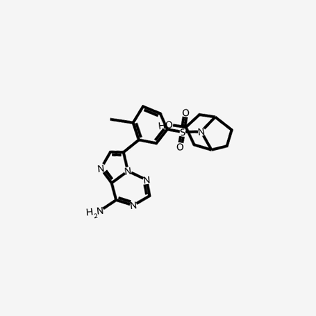 Cc1ccc(S(=O)(=O)N2C3CCC2CC(O)C3)cc1-c1cnc2c(N)ncnn12